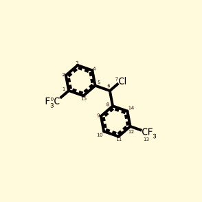 FC(F)(F)c1cccc(C(Cl)c2cccc(C(F)(F)F)c2)c1